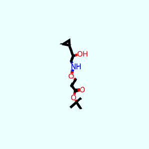 CC(C)(C)OC(=O)CCONCC(O)C1CC1